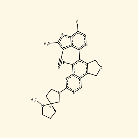 CN1CCC[C@]12CCN(c1ncc3c4c(c(-c5ncc(F)c6sc(N)c(C#N)c56)c(F)c3n1)COC4)C2